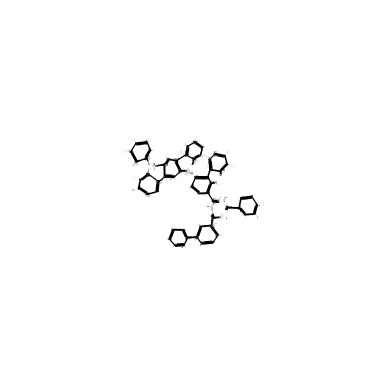 c1ccc(-c2cccc(-c3nc(-c4ccccc4)nc(-c4ccc(-n5c6ccccc6c6cc7c(cc65)c5ccccc5n7-c5ccccc5)c5c4oc4ccccc45)n3)c2)cc1